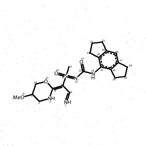 COC1CN/C(=C(\C=N)S(C)(=O)=NC(=O)Nc2c3c(cc4c2CCC4)CCC3)OC1